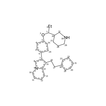 CCC(Oc1ccc(-c2cn3ccccc3c2CCc2ccccc2)cc1)C1CCCNC1